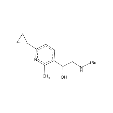 Cc1nc(C2CC2)ccc1[C@@H](O)CNC(C)(C)C